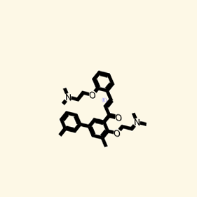 Cc1cccc(-c2cc(C)c(OCCN(C)C)c(C(=O)/C=C/c3ccccc3OCCN(C)C)c2)c1